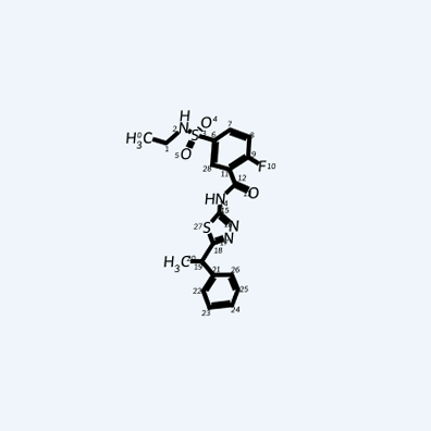 CCNS(=O)(=O)c1ccc(F)c(C(=O)Nc2nnc(C(C)c3ccccc3)s2)c1